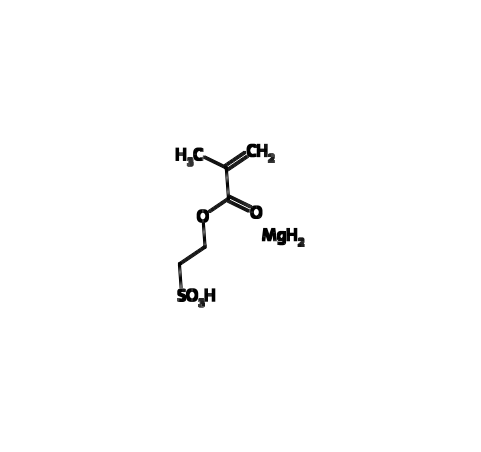 C=C(C)C(=O)OCCS(=O)(=O)O.[MgH2]